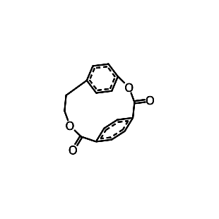 O=C1OCCc2ccc(cc2)OC(=O)c2ccc1cc2